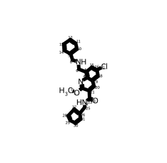 COc1nc2c(CNCc3ccccc3)cc(Cl)cc2cc1C(=O)NCc1ccccc1